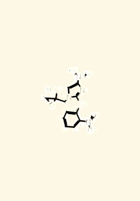 CC1(Cn2cc([N+](=O)[O-])nc2Sc2ccccc2[N+](=O)[O-])CO1